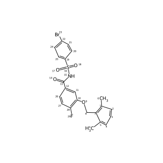 Cc1cccc(C)c1COc1cc(C(=O)NS(=O)(=O)c2ccc(Br)cc2)ccc1F